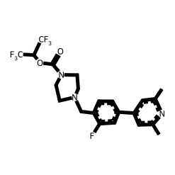 Cc1cc(-c2ccc(CN3CCN(C(=O)OC(C(F)(F)F)C(F)(F)F)CC3)c(F)c2)cc(C)n1